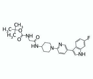 CC(C)(C)OC(=O)NCC(=O)NC1CCN(c2ccc(-c3c[nH]c4cc(F)ccc34)cn2)CC1